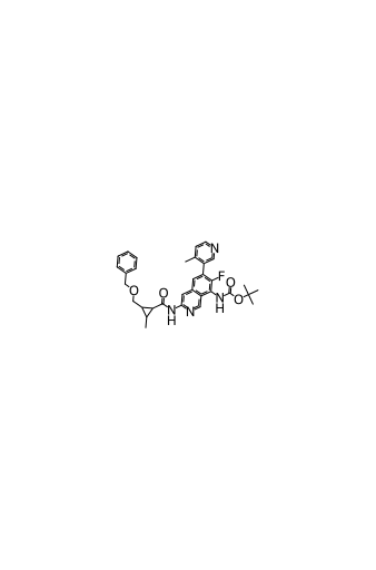 Cc1ccncc1-c1cc2cc(NC(=O)C3C(C)C3COCc3ccccc3)ncc2c(NC(=O)OC(C)(C)C)c1F